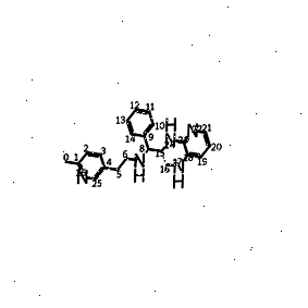 Cc1ccc(CCN[C@H](c2ccccc2)[C@H]2CNc3cccnc3N2)cn1